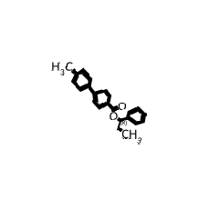 CC[C@@H](OC(=O)c1ccc(-c2ccc(C)cc2)cc1)c1ccccc1